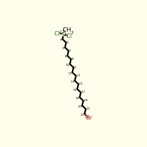 C[Si](Cl)(Cl)CCCCCCCCCCCCCCCCCCCBr